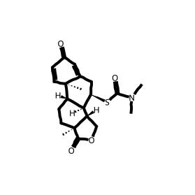 CN(C)C(=O)S[C@@H]1CC2=CC(=O)C=C[C@]2(C)[C@H]2CC[C@]3(C)C(=O)OC[C@H]3[C@H]12